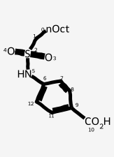 CCCCCCCCCS(=O)(=O)Nc1ccc(C(=O)O)cc1